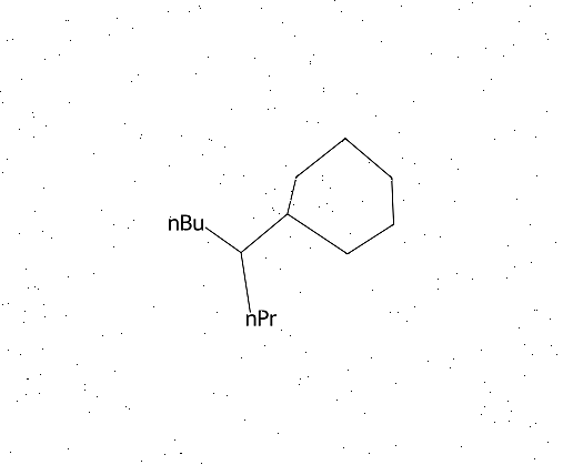 [CH2]CCCC(CCC)C1CCCCC1